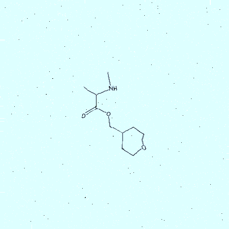 CNC(C)C(=O)OCC1CCOCC1